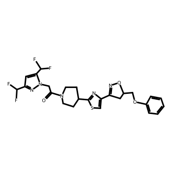 O=C(Cn1nc(C(F)F)cc1C(F)F)N1CCC(c2nc(C3=NOC(COc4ccccc4)C3)cs2)CC1